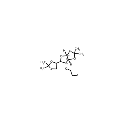 CC1(C)OCC(C2O[C@@H]3OC(C)(C)O[C@@H]3[C@@H]2OCCF)O1